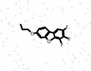 CCCOc1ccc2c(c1)oc1c(F)c(F)c(F)cc12